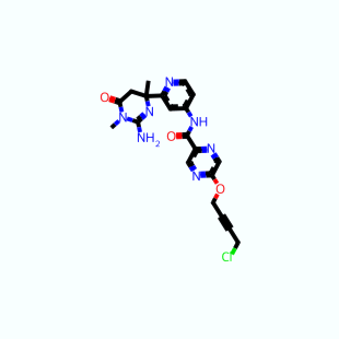 CN1C(=O)CC(C)(c2cc(NC(=O)c3cnc(OCC#CCCl)cn3)ccn2)N=C1N